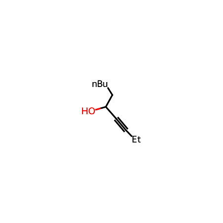 CCC#CC(O)CCCCC